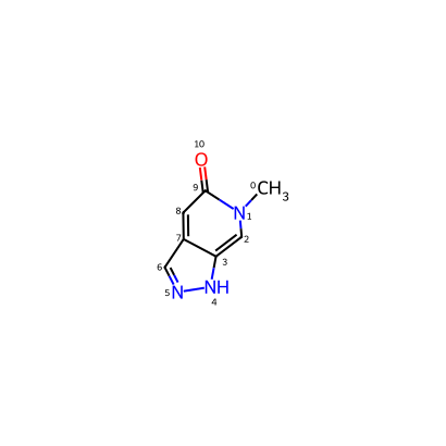 Cn1cc2[nH]ncc2cc1=O